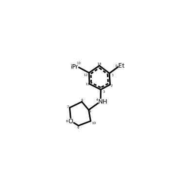 CCc1cc(NC2CCOCC2)cc(C(C)C)c1